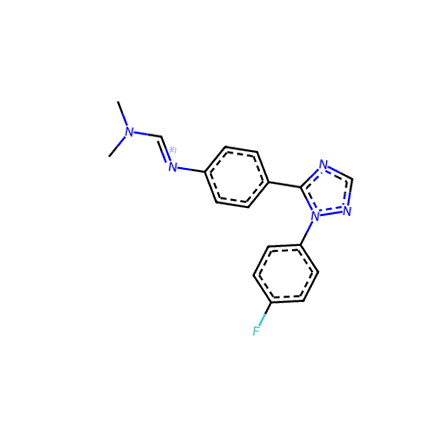 CN(C)/C=N/c1ccc(-c2ncnn2-c2ccc(F)cc2)cc1